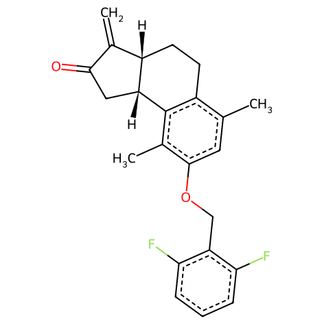 C=C1C(=O)C[C@H]2c3c(C)c(OCc4c(F)cccc4F)cc(C)c3CC[C@@H]12